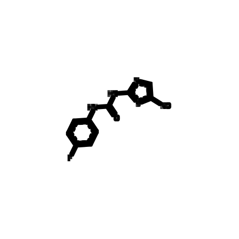 O=Nc1cnc(NC(=O)Nc2ccc(F)cc2)s1